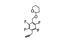 C#CCc1c(F)c(F)c(COC2CCCCO2)c(F)c1F